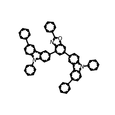 c1ccc(-c2ccc3c(c2)c2cc(-c4cc(-c5ccc6c(c5)c5cc(-c7ccccc7)ccc5n6-c5ccccc5)c5nc(-c6ccccc6)oc5c4)ccc2n3-c2ccccc2)cc1